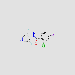 O=C(Nc1c(F)cncc1F)c1c(Cl)cc(I)cc1Cl